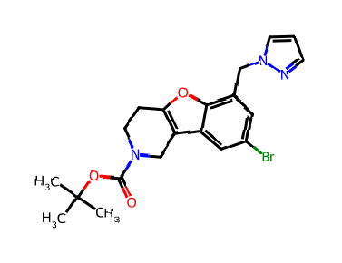 CC(C)(C)OC(=O)N1CCc2oc3c(Cn4cccn4)cc(Br)cc3c2C1